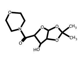 CC1(C)OC2OC(C(=O)N3CCOCC3)C(O)C2O1